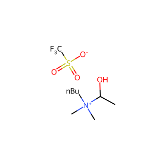 CCCC[N+](C)(C)C(C)O.O=S(=O)([O-])C(F)(F)F